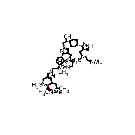 CNCCN(C)Cc1cn(CC(C)[C@H]2CC[C@H](c3nn(CC(C)[C@H]4CC[C@@H](c5n[nH]cc5CN(C)CCNC)CC4)cc3CN(C)CCNC)CC2)nc1C1CC(C)OC(C)C1